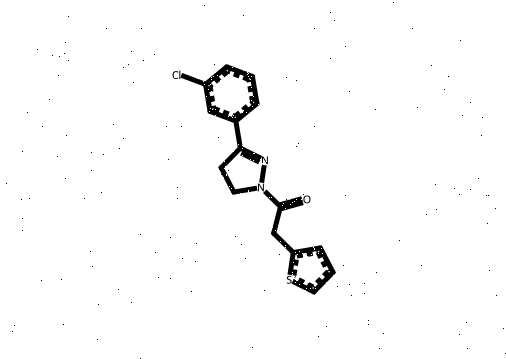 O=C(Cc1cccs1)N1CCC(c2cccc(Cl)c2)=N1